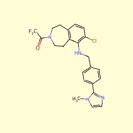 Cn1ccnc1-c1ccc(CNc2c(Cl)ccc3c2CCN(C(=O)C(F)(F)F)CC3)cc1